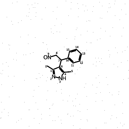 Cc1n[nH]c(C)c1C(CN=O)c1ccccc1